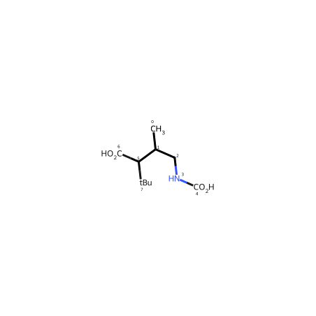 CC(CNC(=O)O)C(C(=O)O)C(C)(C)C